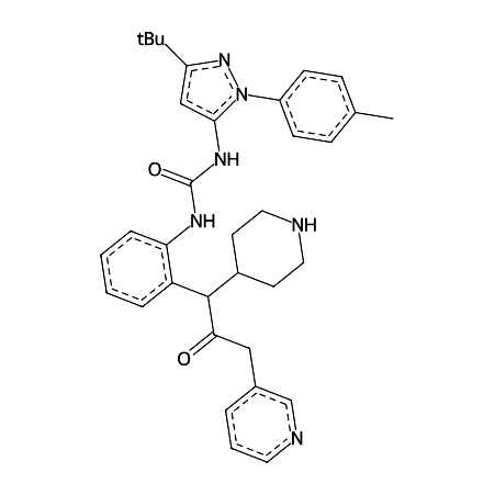 Cc1ccc(-n2nc(C(C)(C)C)cc2NC(=O)Nc2ccccc2C(C(=O)Cc2cccnc2)C2CCNCC2)cc1